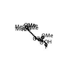 COC[C@@H](OC)[C@@H](OC)[C@H](OC)[C@H](CNC(=O)CCCCCCCCCCC(=O)NCc1ccc(N2C(=O)[C@H](CC[C@H](O)c3ccc(F)cc3)C2c2ccc(OC)cc2)cc1)OC